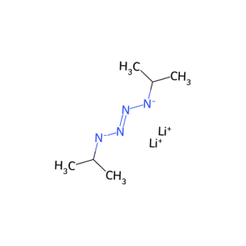 CC(C)[N-]N=N[N-]C(C)C.[Li+].[Li+]